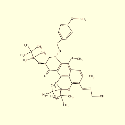 COc1ccc(CO[C@H]2C[C@H](O[Si](C)(C)C(C)(C)C)C(=O)c3c2c(OC)c2cc(C)c(/C=C/CO)c4c2c3O[Si](C(C)(C)C)(C(C)(C)C)O4)cc1